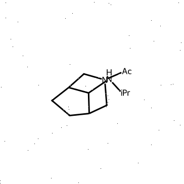 CC(=O)N1CC2CCC(C1)C2NC(C)C